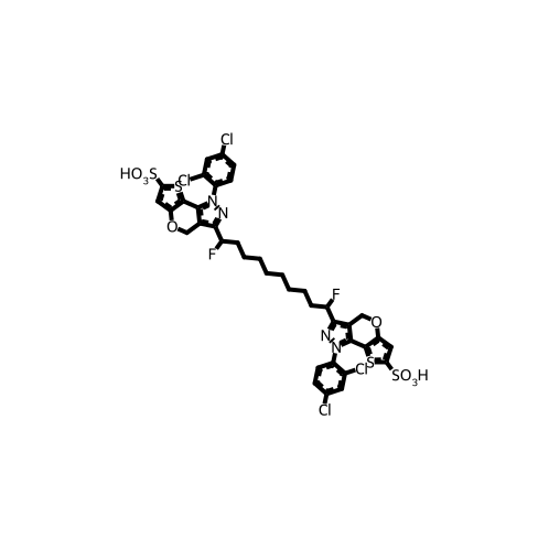 O=S(=O)(O)c1cc2c(s1)-c1c(c(C(F)CCCCCCCCC(F)c3nn(-c4ccc(Cl)cc4Cl)c4c3COc3cc(S(=O)(=O)O)sc3-4)nn1-c1ccc(Cl)cc1Cl)CO2